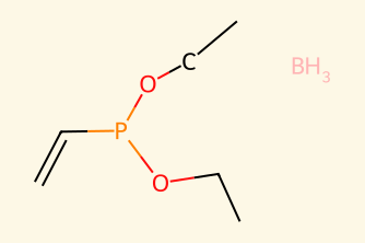 B.C=CP(OCC)OCC